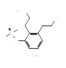 CCCCCCCCCCCCc1cccc(OP(=O)(S)S)c1CCCCCCCCCCCC.N